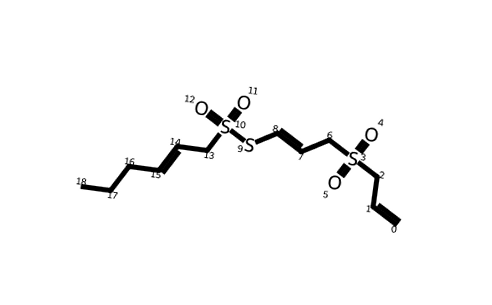 C=CCS(=O)(=O)CC=CSS(=O)(=O)CC=CCCC